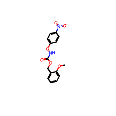 COc1ccccc1COC(=O)NOc1ccc([N+](=O)[O-])cc1